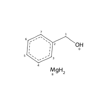 OCc1ccccc1.[MgH2]